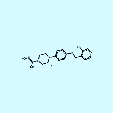 C[C@@H]1CN(/C(N)=N/O)CCN1c1ncc(OCc2ccncc2Br)cn1